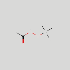 CCCC[Si](C)(C)OOC(=O)C(C)CC